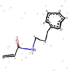 C=CC(=O)NCCc1ccccc1